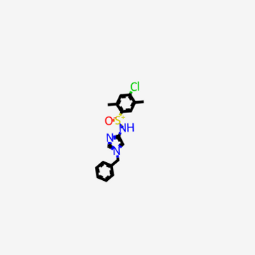 Cc1cc([S+]([O-])Nc2cn(Cc3ccccc3)cn2)c(C)cc1Cl